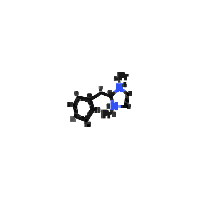 CC(C)N1C=CN(C(C)C)C1Cc1ccccc1